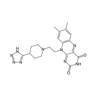 Cc1cc2nc3c(=O)[nH]c(=O)nc-3n(CCN3CCC(c4nnn[nH]4)CC3)c2cc1C